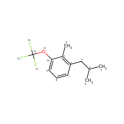 Cc1c(CC(C)C)cccc1OC(F)(F)F